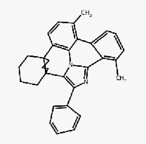 Cc1cccc2c1c1nc(-c3ccccc3)c3n1c1c(ccc(C)c21)C12CCCCC31CCC2